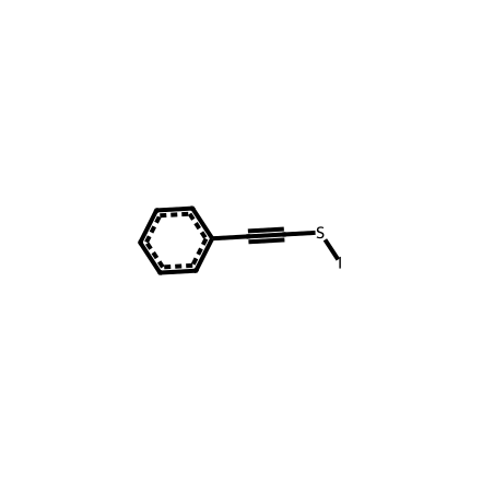 ISC#Cc1ccccc1